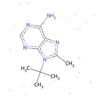 Cc1nc2c(N)ncnc2n1C(C)(C)C